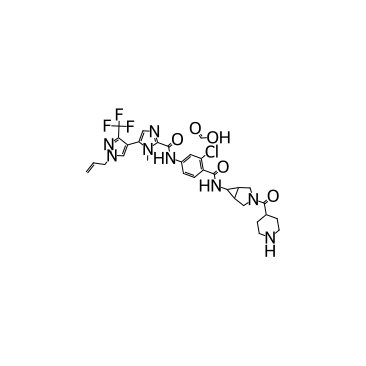 C=CCn1cc(-c2cnc(C(=O)Nc3ccc(C(=O)NC4C5CN(C(=O)C6CCNCC6)CC54)c(Cl)c3)n2C)c(C(F)(F)F)n1.O=CO